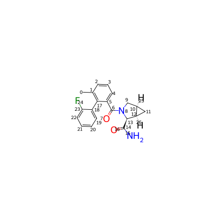 Cc1cccc(C(=O)N2C[C@H]3C[C@H]3[C@H]2C(N)=O)c1-c1ccccc1F